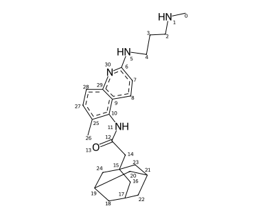 CNCCCNc1ccc2c(NC(=O)CC34CC5CC(CC(C5)C3)C4)c(C)ccc2n1